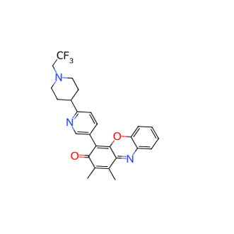 Cc1c2nc3ccccc3oc-2c(-c2ccc(C3CCN(CC(F)(F)F)CC3)nc2)c(=O)c1C